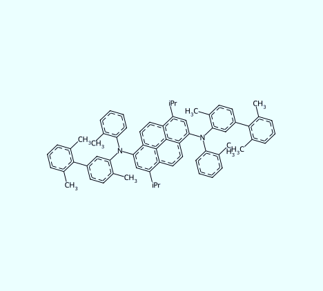 Cc1ccccc1N(c1cc(-c2c(C)cccc2C)ccc1C)c1cc(C(C)C)c2ccc3c(N(c4ccccc4C)c4cc(-c5c(C)cccc5C)ccc4C)cc(C(C)C)c4ccc1c2c43